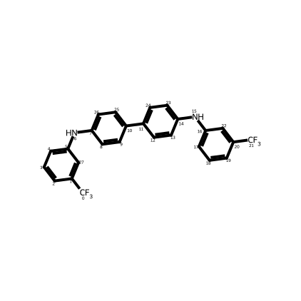 FC(F)(F)c1cccc(Nc2ccc(-c3ccc(Nc4cccc(C(F)(F)F)c4)cc3)cc2)c1